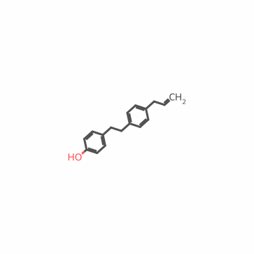 C=CCc1ccc(CCc2ccc(O)cc2)cc1